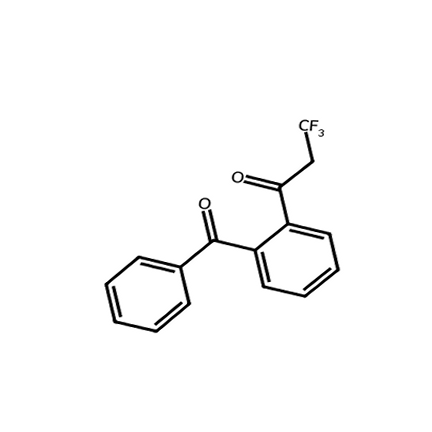 O=C(CC(F)(F)F)c1ccccc1C(=O)c1ccccc1